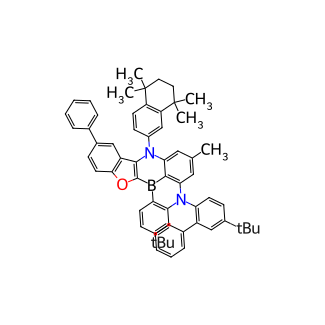 Cc1cc2c3c(c1)N(c1ccc4c(c1)C(C)(C)CCC4(C)C)c1c(oc4ccc(-c5ccccc5)cc14)B3c1ccc(C(C)(C)C)cc1N2c1ccc(C(C)(C)C)cc1-c1ccccc1